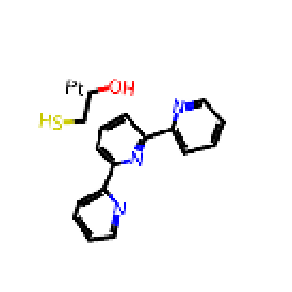 OCCS.[Pt].c1ccc(-c2cccc(-c3ccccn3)n2)nc1